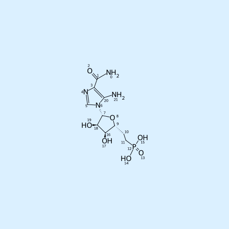 NC(=O)c1ncn([C@@H]2O[C@H](CCP(=O)(O)O)[C@@H](O)[C@H]2O)c1N